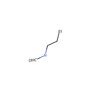 [CH2]CCC[N]C=O